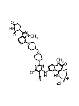 Cn1nc(C2CCC(=O)NC2=O)c2cccc(N3CCC(CN4CCN(c5nc(Cl)c(C#N)c(Nc6ccc7c(c6)c6c(c(=O)n7C)OCC(F)(F)[C@H](C7CC7)N6)n5)CC4)CC3)c21